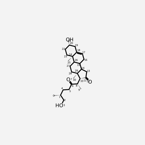 C[C@@H](CO)CCC(=O)[C@@H](C)[C@H]1C(=O)CC2C3CC=C4C[C@@H](O)CC[C@]4(C)C3CC[C@@]21C